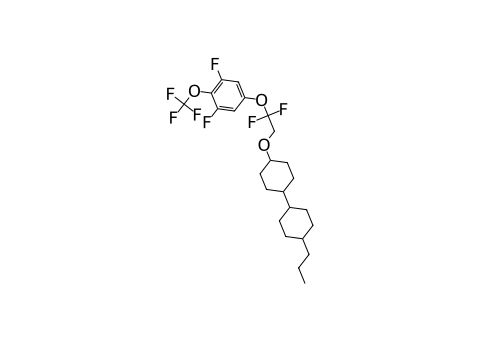 CCCC1CCC(C2CCC(OCC(F)(F)Oc3cc(F)c(OC(F)(F)F)c(F)c3)CC2)CC1